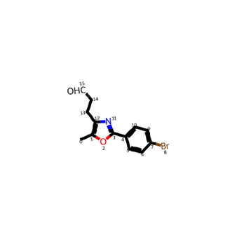 Cc1oc(-c2ccc(Br)cc2)nc1CCC=O